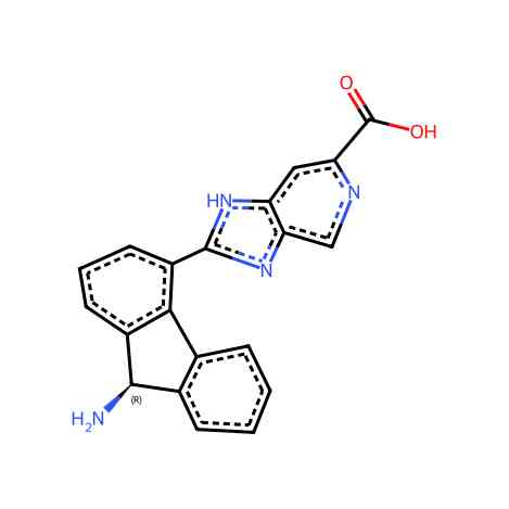 N[C@@H]1c2ccccc2-c2c(-c3nc4cnc(C(=O)O)cc4[nH]3)cccc21